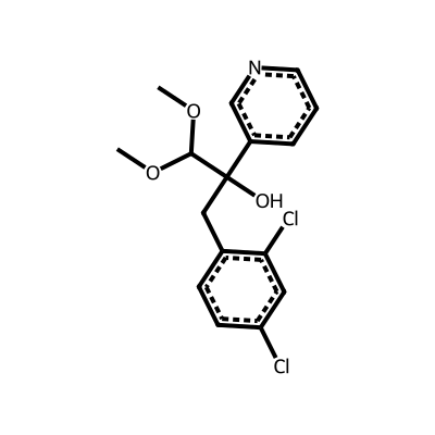 COC(OC)C(O)(Cc1ccc(Cl)cc1Cl)c1cccnc1